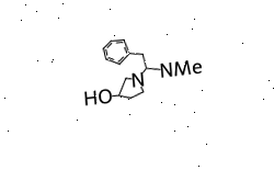 CNC(Cc1ccccc1)N1CCC(O)C1